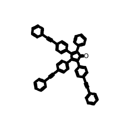 O=C1C(c2ccccc2)=C(c2ccc(C#Cc3ccccc3)cc2)C(c2ccc(C#Cc3ccccc3)cc2)=C1c1ccc(C#Cc2ccccc2)cc1